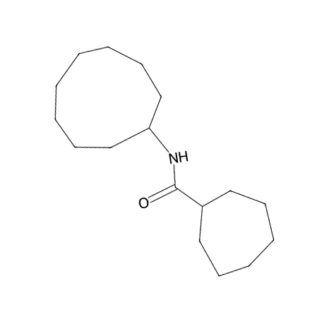 O=C(NC1CCCCCCCC1)C1CCCCCC1